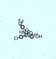 CC(O)Cn1cccc(N2C[C@@H](c3ccc(Cl)cc3)[C@H](NC(=O)c3ccc(OC(F)F)cc3)C2=O)c1=O